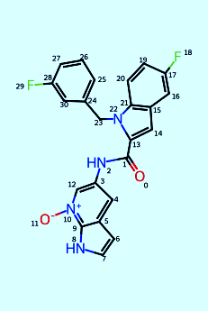 O=C(Nc1cc2cc[nH]c2[n+]([O-])c1)c1cc2cc(F)ccc2n1Cc1cccc(F)c1